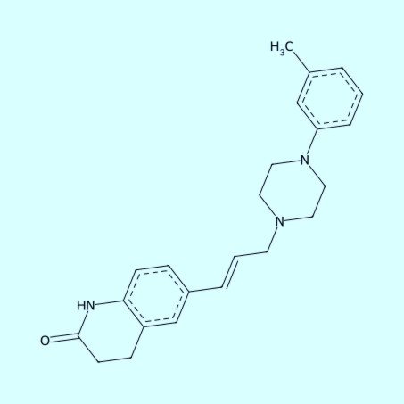 Cc1cccc(N2CCN(C/C=C/c3ccc4c(c3)CCC(=O)N4)CC2)c1